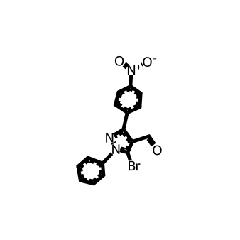 O=Cc1c(-c2ccc([N+](=O)[O-])cc2)nn(-c2ccccc2)c1Br